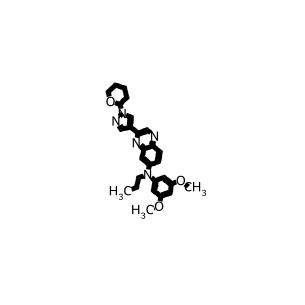 CCCN(c1cc(OC)cc(OC)c1)c1ccc2ncc(-c3cnn(C4CCCCO4)c3)nc2c1